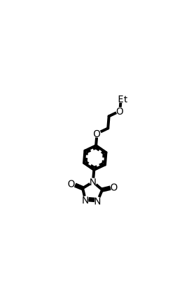 CCOCCOc1ccc(N2C(=O)N=NC2=O)cc1